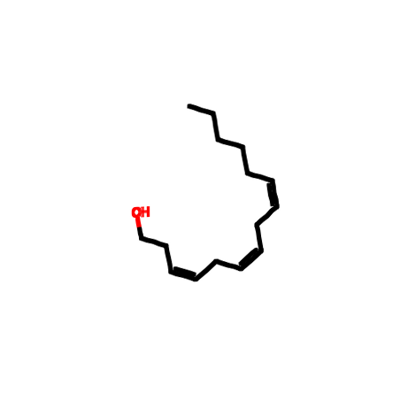 CCCCC/C=C\C/C=C\C/C=C\CCO